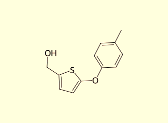 Cc1ccc(Oc2ccc(CO)s2)cc1